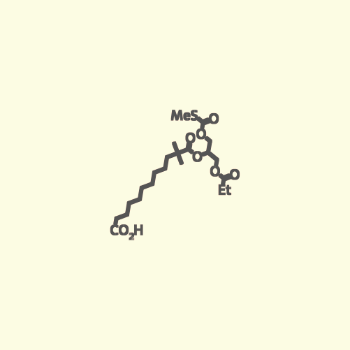 CCC(=O)OCC(COC(=O)SC)OC(=O)C(C)(C)CCCCCCCCCC(=O)O